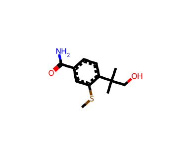 CSc1cc(C(N)=O)ccc1C(C)(C)CO